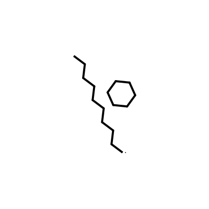 C1CCCCC1.[CH2]CCCCCCCCC